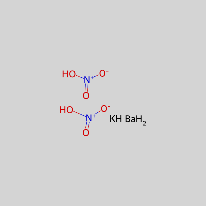 O=[N+]([O-])O.O=[N+]([O-])O.[BaH2].[KH]